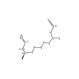 [CH2][C@H](CCCCCC(C)CC=C)OC=O